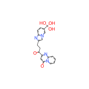 O=C(CCc1cn2cc(C(O)(O)O)ccc2n1)c1cc(=O)n2ccccc2n1